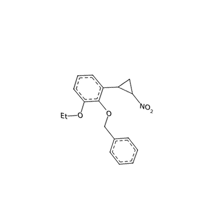 CCOc1cccc(C2CC2[N+](=O)[O-])c1OCc1ccccc1